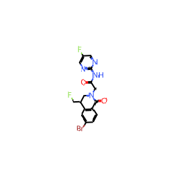 O=C(CN1CC(CF)c2cc(Br)ccc2C1=O)Nc1ncc(F)cn1